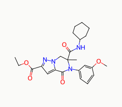 CCOC(=O)c1cc2n(n1)CC(C)(C(=O)NC1CCCCC1)N(c1cccc(OC)c1)C2=O